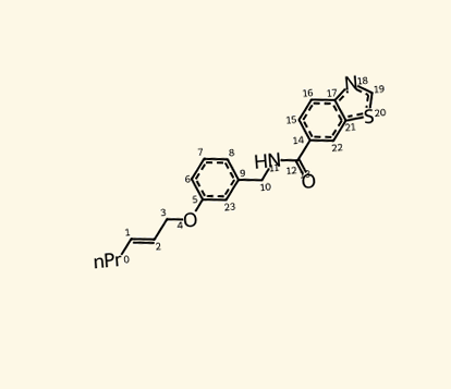 CCCC=CCOc1cccc(CNC(=O)c2ccc3ncsc3c2)c1